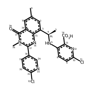 Cc1cc([C@@H](C)Nc2ccc(Cl)nc2C(=O)O)c2nc(-c3ccc(Cl)nc3)n(C)c(=O)c2c1